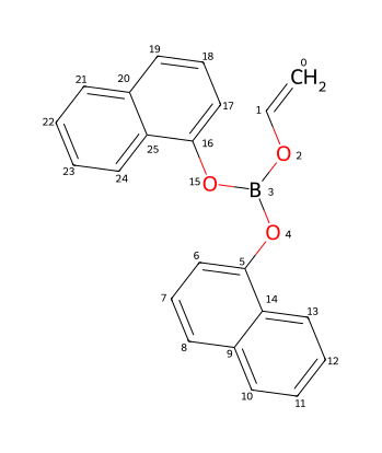 C=COB(Oc1cccc2ccccc12)Oc1cccc2ccccc12